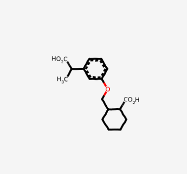 CC(C(=O)O)c1cccc(OCC2CCCCC2C(=O)O)c1